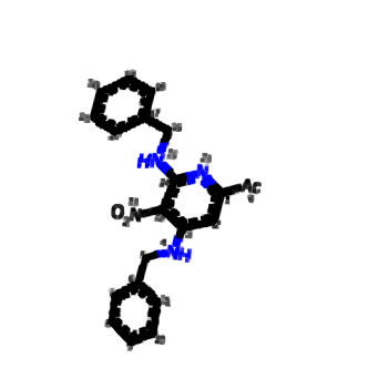 CC(=O)c1cc(NCc2ccccc2)c([N+](=O)[O-])c(NCc2ccccc2)n1